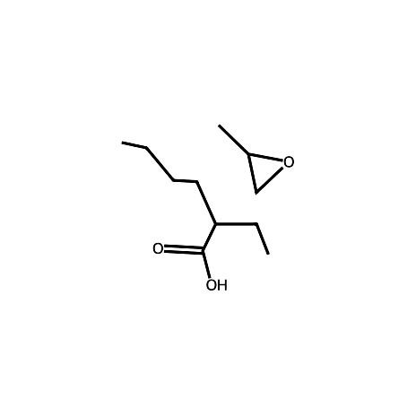 CC1CO1.CCCCC(CC)C(=O)O